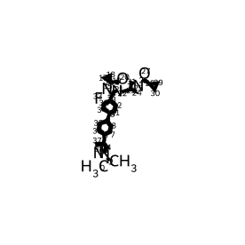 CC(C)n1cc(-c2ccc(-c3ccc(C4=NC5(CC5)C(=O)N4CC4CN(C(=O)C5CC5)C4)c(F)c3)cc2)cn1